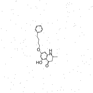 CC1CC(=O)c2c(O)cc(OCCCCc3ccccc3)cc2N1